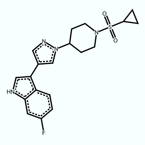 O=S(=O)(C1CC1)N1CCC(n2cc(-c3c[nH]c4cc(F)ccc34)cn2)CC1